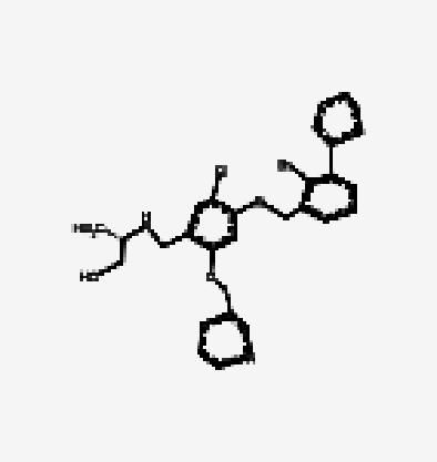 O=C(O)[C@@H](CO)NCc1cc(Cl)c(OCc2cccc(-c3ccccc3)c2Br)cc1OCc1cccnc1